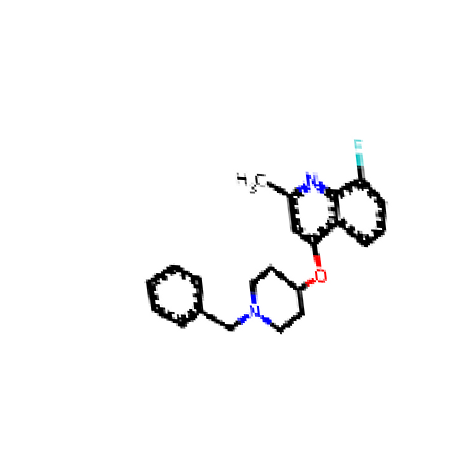 Cc1cc(OC2CCN(Cc3ccccc3)CC2)c2cccc(F)c2n1